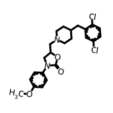 COc1ccc(N2CC(CN3CCC(Cc4cc(Cl)ccc4Cl)CC3)OC2=O)cc1